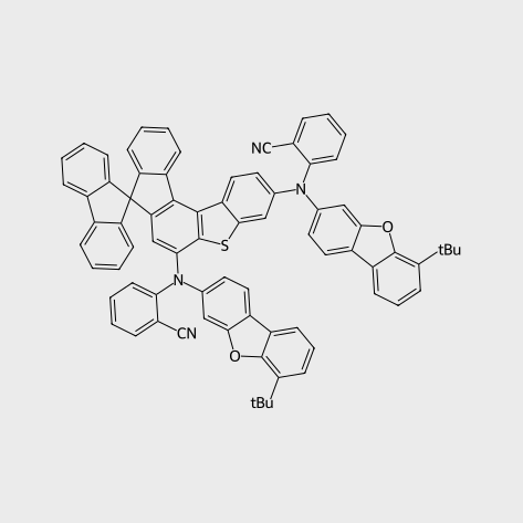 CC(C)(C)c1cccc2c1oc1cc(N(c3ccc4c(c3)sc3c(N(c5ccc6c(c5)oc5c(C(C)(C)C)cccc56)c5ccccc5C#N)cc5c(c34)-c3ccccc3C53c4ccccc4-c4ccccc43)c3ccccc3C#N)ccc12